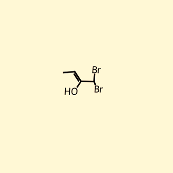 CC=C(O)C(Br)Br